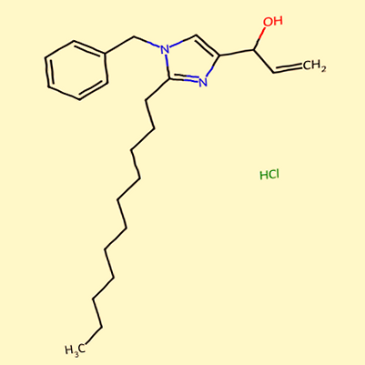 C=CC(O)c1cn(Cc2ccccc2)c(CCCCCCCCCCC)n1.Cl